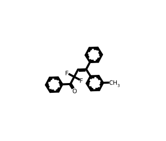 Cc1cccc(/C(=C\C(F)(F)C(=O)c2ccccc2)c2ccccc2)c1